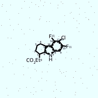 CCOC(=O)C1CCCc2c1[nH]c1cc(F)c(Cl)c(F)c21